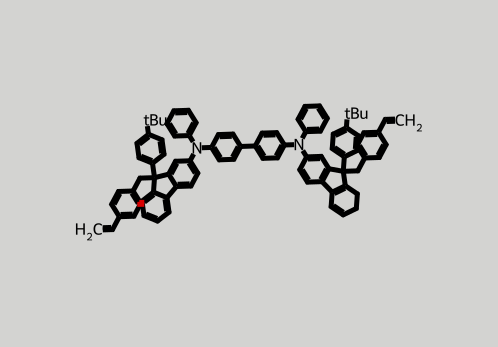 C=Cc1ccc(CC2(c3ccc(C(C)(C)C)cc3)C3=C(C=CCC3)c3ccc(N(c4ccccc4)c4ccc(-c5ccc(N(c6ccccc6)c6ccc7c(c6)C(Cc6ccc(C=C)cc6)(c6ccc(C(C)(C)C)cc6)c6ccccc6-7)cc5)cc4)cc32)cc1